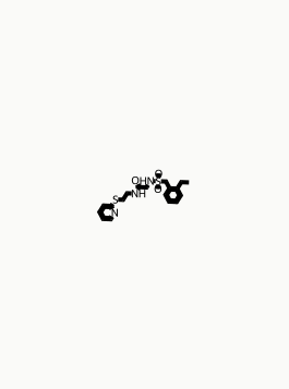 CCc1ccccc1CS(=O)(=O)NCC(=O)NCCSc1ccccn1